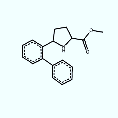 COC(=O)C1CCC(c2ccccc2-c2ccccc2)N1